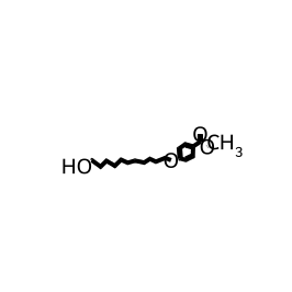 COC(=O)c1ccc(OCCCCCCCCCCCO)cc1